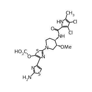 CO[C@H]1CN(c2nc(-c3csc(N)n3)c(OC(=O)O)s2)CC[C@H]1NC(=O)c1[nH]c(C)c(Cl)c1Cl